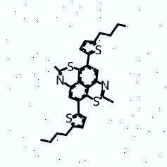 CCCCc1ccc(-c2cc3c4c(c(-c5ccc(CCCC)s5)cc5c4c2SC(C)=N5)SC(C)=N3)s1